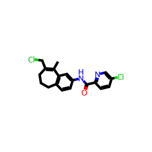 CC1=C(CCl)CCCc2ccc(NC(=O)c3ccc(Cl)cn3)cc21